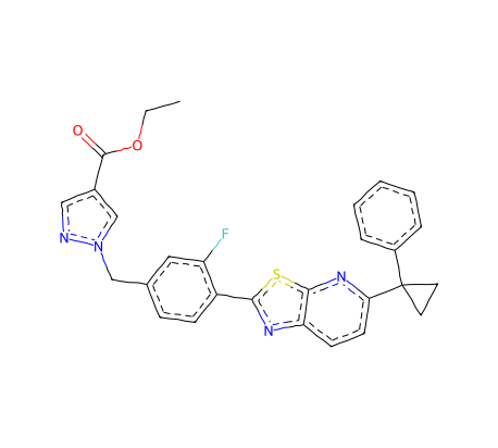 CCOC(=O)c1cnn(Cc2ccc(-c3nc4ccc(C5(c6ccccc6)CC5)nc4s3)c(F)c2)c1